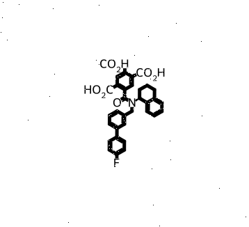 O=C(O)c1cc(C(=O)O)c(C(=O)N(Cc2cccc(-c3ccc(F)cc3)c2)[C@H]2CCCc3ccccc32)cc1C(=O)O